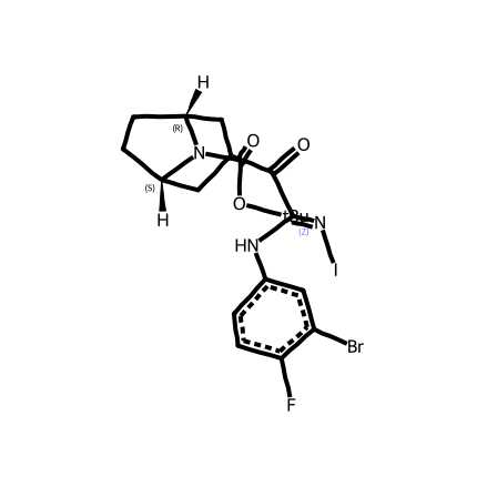 CC(C)(C)OC(=O)N1[C@@H]2CC[C@H]1CC(C(=O)/C(=N/I)Nc1ccc(F)c(Br)c1)C2